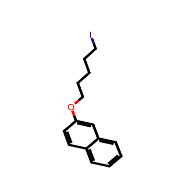 ICCCCCOc1ccc2ccccc2c1